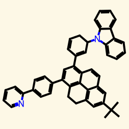 CC(C)(C)c1cc2c3c(ccc4c(C5=CC(n6c7ccccc7c7ccccc76)CC=C5)cc(-c5ccc(-c6ccccn6)cc5)c(c43)CC2)c1